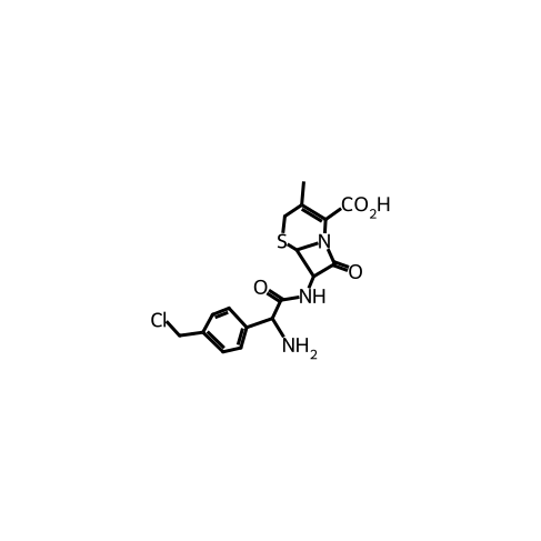 CC1=C(C(=O)O)N2C(=O)C(NC(=O)C(N)c3ccc(CCl)cc3)C2SC1